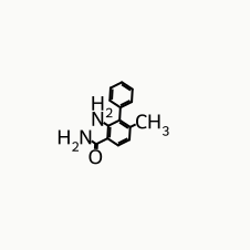 Cc1ccc(C(N)=O)c(N)c1-c1ccccc1